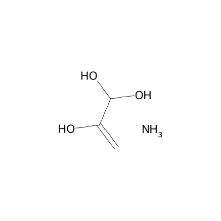 C=C(O)C(O)O.N